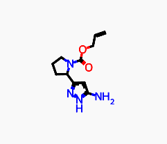 C=CCOC(=O)N1CCCC1c1cc(N)[nH]n1